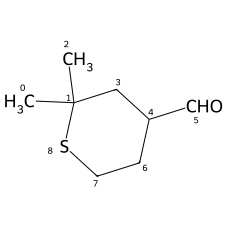 CC1(C)CC(C=O)CCS1